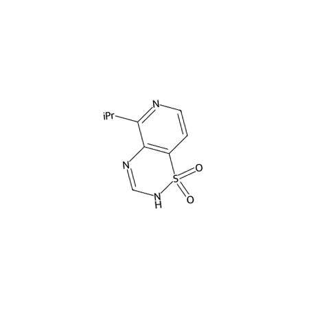 CC(C)c1nccc2c1N=CNS2(=O)=O